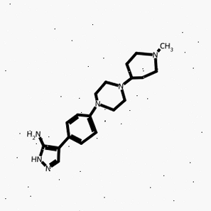 CN1CCC(N2CCN(c3ccc(-c4cn[nH]c4N)cc3)CC2)CC1